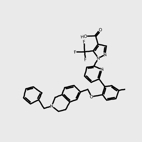 Cc1ccc(OCc2ccc3c(c2)CCN(Cc2ccccc2)C3)c(-c2cccc(-n3ncc(C(=O)O)c3C(F)(F)F)n2)c1